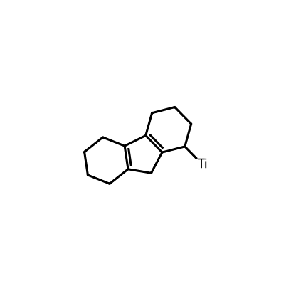 [Ti][CH]1CCCC2=C1CC1=C2CCCC1